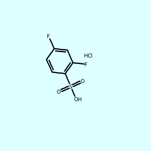 Cl.O=S(=O)(O)c1ccc(F)cc1F